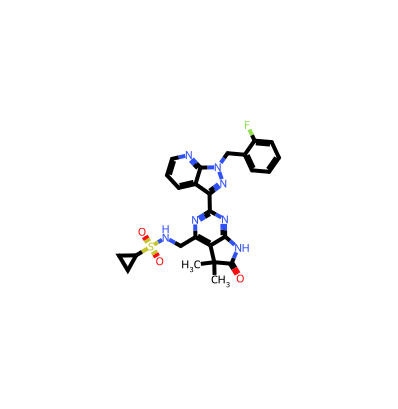 CC1(C)C(=O)Nc2nc(-c3nn(Cc4ccccc4F)c4ncccc34)nc(CNS(=O)(=O)C3CC3)c21